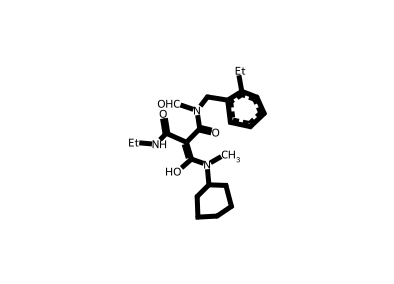 CCNC(=O)/C(C(=O)N(C=O)Cc1ccccc1CC)=C(\O)N(C)C1CCCCC1